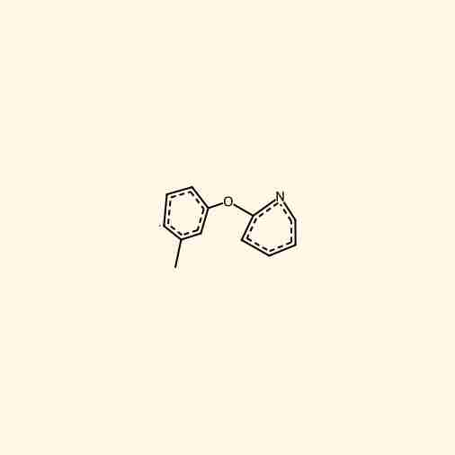 Cc1[c]ccc(Oc2ccccn2)c1